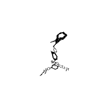 Cc1ccccc1COc1ccc(S(=O)(=O)N2CC(O)CCC2C(=O)O)cc1